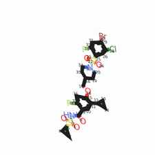 O=C(NS(=O)(=O)C1CC1)c1cc(C2CC2)c(OCC2CCN(S(=O)(=O)c3cc(Cl)c(Br)cc3F)CC2)cc1F